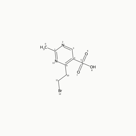 Cc1ncc(S(=O)(=O)O)c(CCBr)n1